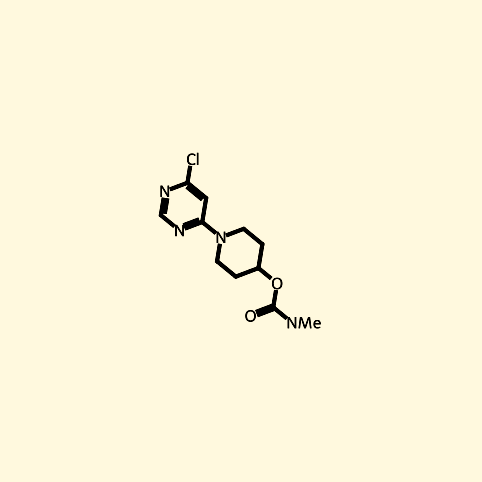 CNC(=O)OC1CCN(c2cc(Cl)ncn2)CC1